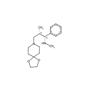 CN[C@@H](c1ccccc1)[C@@H](C)CN1CCC2(CC1)OCCO2